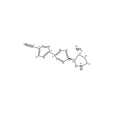 N#Cc1ccc(-c2ccc([C@@H]3CNCC[C@H]3N)cc2)cc1